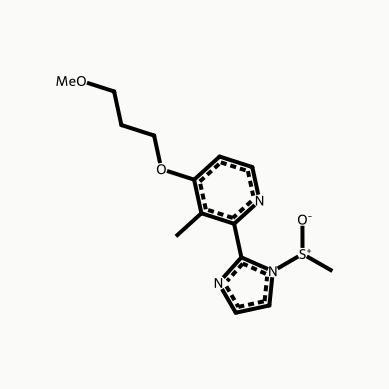 COCCCOc1ccnc(-c2nccn2[S+](C)[O-])c1C